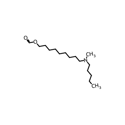 CCCCCN(C)CCCCCCCCCOC=O